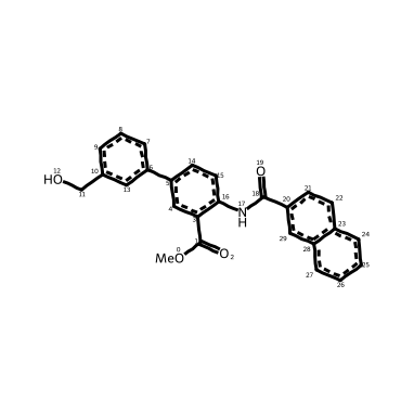 COC(=O)c1cc(-c2cccc(CO)c2)ccc1NC(=O)c1ccc2ccccc2c1